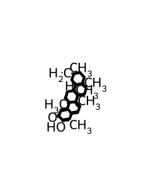 [CH2][C@@]1(C)CC[C@@]2(C)CC[C@]3(C)C4=CC=C5C(=CC(=O)C(O)=C5C)[C@]4(C)CC[C@@]3(C)[C@@H]2C1